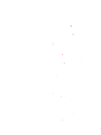 CC1(C)c2ccccc2-c2ccc(N(C3=CC=C=C=C3c3cccc4cccc(C5=CC=CCC5)c34)c3ccc(-c4ccc(C56CC7CC(CC(C7)C5)C6)cc4)cc3)cc21